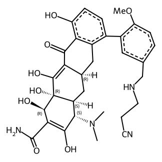 COc1ccc(CNCCC#N)cc1-c1ccc(O)c2c1C[C@H]1C[C@H]3[C@H](N(C)C)C(O)=C(C(N)=O)[C@@H](O)[C@@]3(O)C(O)=C1C2=O